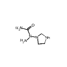 NC(=O)N(N)N1CCNC1